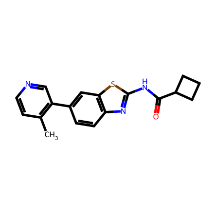 Cc1ccncc1-c1ccc2nc(NC(=O)C3CCC3)sc2c1